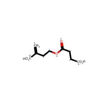 C=C(CCOC(=O)CCC(=O)O)C(=O)O